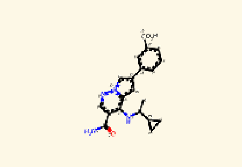 CC(Nc1c(C(N)=O)cnn2cc(-c3cccc(C(=O)O)c3)cc12)C1CC1